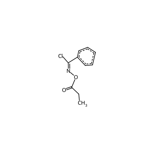 CCC(=O)O/N=C(/Cl)c1ccccc1